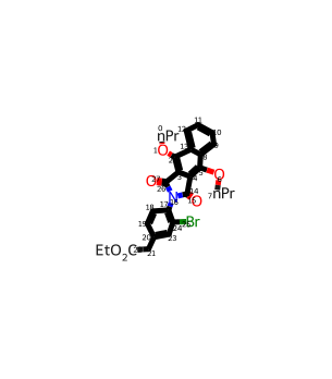 CCCOc1c2c(c(OCCC)c3ccccc13)C(=O)N(c1ccc(CC(=O)OCC)cc1Br)C2=O